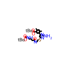 Cc1cc(C)c(-c2cc(SCCN(C)C(=O)CCCNC(=O)OC(C)(C)C)nc(N)n2)cc1C(=O)OC(C)(C)C